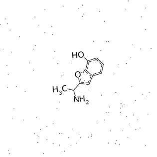 CC(N)c1cc2cccc(O)c2o1